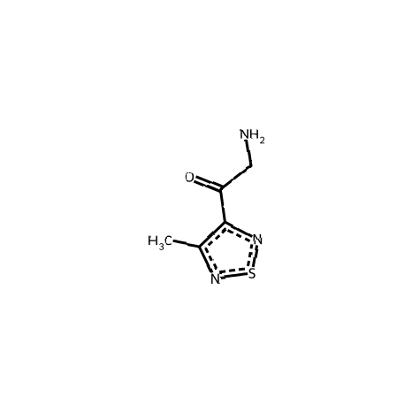 Cc1nsnc1C(=O)CN